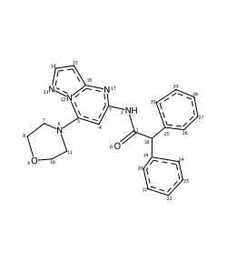 O=C(Nc1cc(N2CCOCC2)n2nccc2n1)C(c1ccccc1)c1ccccc1